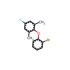 Cc1cc(F)cc(C)c1Oc1cc[c]cc1Br